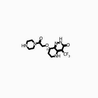 O=C(CO[C@H]1CCNc2c1n[nH]c(=O)c2C(F)(F)F)N1CCNCC1